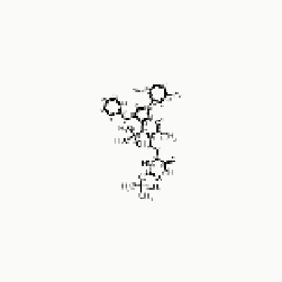 CC(=O)N(CC[C@H](NC(=O)OC(C)(C)C)C(=O)O)[C@@H](c1nn(-c2cc(F)ccc2F)cc1Cc1ccccc1)C(C)(C)C